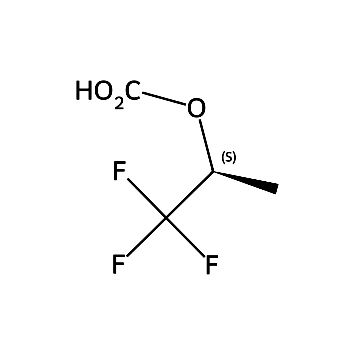 C[C@H](OC(=O)O)C(F)(F)F